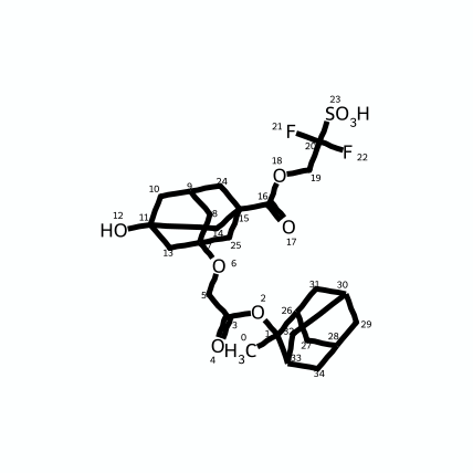 CC1(OC(=O)COC23CC4CC(O)(C2)CC(C(=O)OCC(F)(F)S(=O)(=O)O)(C4)C3)C2CC3CC(C2)CC1C3